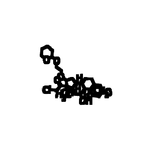 C[C@]12C=CC(=O)C=C1CC[C@@H]1[C@@H]2C(O)C[C@@]2(C)[C@H]1CC(OCCOC1CCCCO1)[C@]2(O)C(=O)CCl